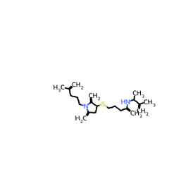 C=C(C)CCCN1C(=C)CC(SCCCC(=C)NC(C)C(=C)C)C1=C